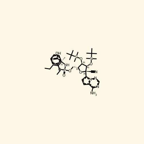 CCCC(CC)[C@](C)(NP(=O)(OC[C@H]1O[C@@](C#N)(c2ccc3c(N)ncnn23)[C@H](O[Si](C)(C)C(C)(C)C)[C@@H]1O[Si](C)(C)C(C)(C)C)Oc1ccccc1)C(=O)O